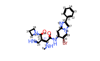 CN/C(C(=O)Nc1cc2nc(-c3ccccc3)cn2cc1Br)=C(\C=N)C(=O)N1CCC1